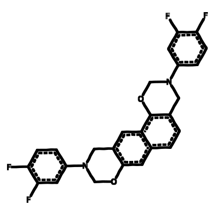 Fc1ccc(N2COc3cc4ccc5c(c4cc3C2)OCN(c2ccc(F)c(F)c2)C5)cc1F